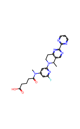 CC1c2cnc(-c3ncccn3)nc2CCN1c1cc(N(C)C(=O)CCCC(=O)O)cc(F)n1